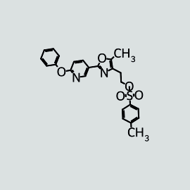 Cc1ccc(S(=O)(=O)OCCc2nc(-c3ccc(Oc4ccccc4)nc3)oc2C)cc1